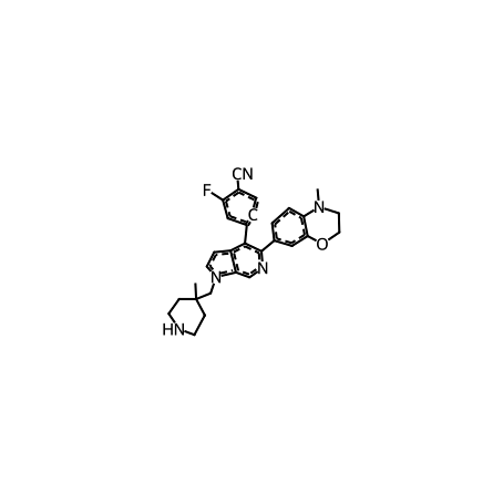 CN1CCOc2cc(-c3ncc4c(ccn4CC4(C)CCNCC4)c3-c3ccc(C#N)c(F)c3)ccc21